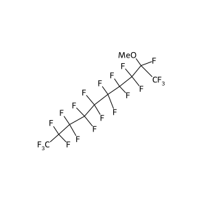 COC(F)(C(F)(F)F)C(F)(F)C(F)(F)C(F)(F)C(F)(F)C(F)(F)C(F)(F)C(F)(F)C(F)(F)F